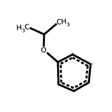 CC(C)Oc1[c][c]ccc1